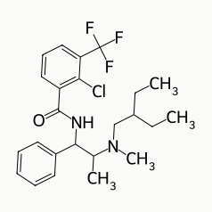 CCC(CC)CN(C)C(C)C(NC(=O)c1cccc(C(F)(F)F)c1Cl)c1ccccc1